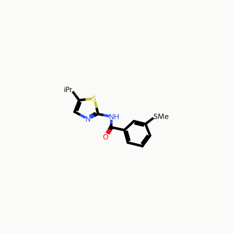 CSc1cccc(C(=O)Nc2ncc(C(C)C)s2)c1